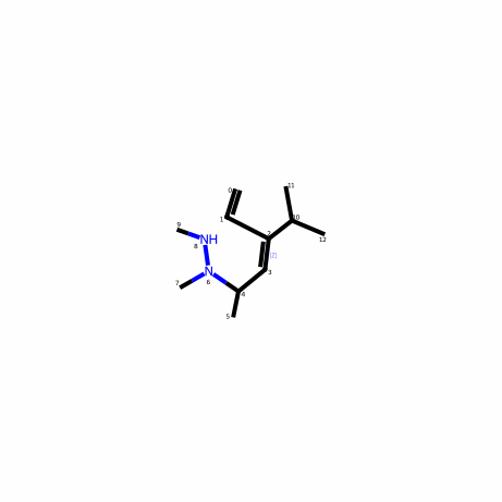 C=C/C(=C\C(C)N(C)NC)C(C)C